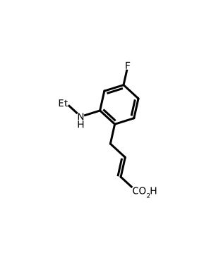 CCNc1cc(F)ccc1CC=CC(=O)O